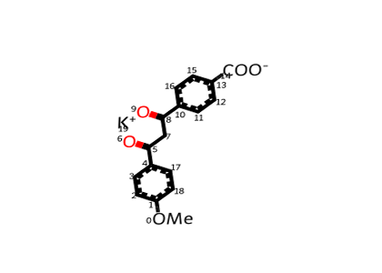 COc1ccc(C(=O)CC(=O)c2ccc(C(=O)[O-])cc2)cc1.[K+]